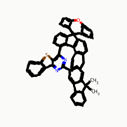 CC1(C)c2ccccc2-c2cc(-c3nc(-c4cccc5c4-c4c(ccc6c4C=CCC6)C54c5ccccc5Oc5ccccc54)c4sc5ccccc5c4n3)ccc21